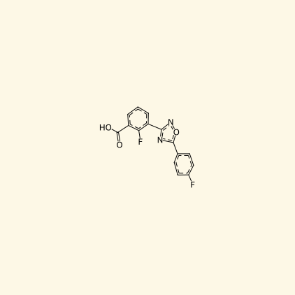 O=C(O)c1cccc(-c2noc(-c3ccc(F)cc3)n2)c1F